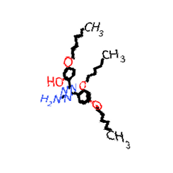 CCCCCCCOc1ccc(-c2nc(N)nc(-c3ccc(OCCCCCCC)cc3OCCCCCCC)n2)c(O)c1